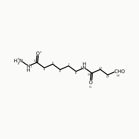 NNC(=O)CCCCCNC(=O)CCC=O